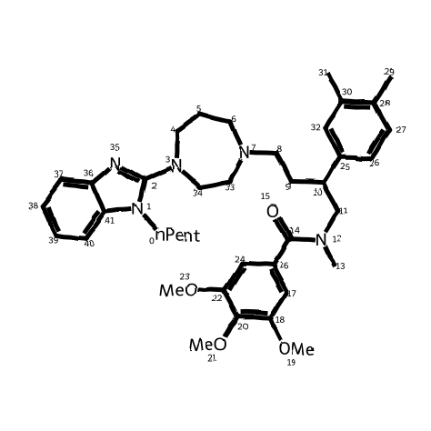 CCCCCn1c(N2CCCN(CCC(CN(C)C(=O)c3cc(OC)c(OC)c(OC)c3)c3ccc(C)c(C)c3)CC2)nc2ccccc21